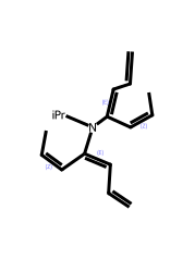 C=C/C=C(\C=C/C)N(C(/C=C\C)=C/C=C)C(C)C